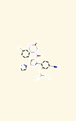 CC(C)Oc1cc(C#N)ccc1C1=N[C@@H](c2ccsn2)[C@@H](c2ccc(Cl)cc2)N1C(=O)N1CCNC(=O)C1